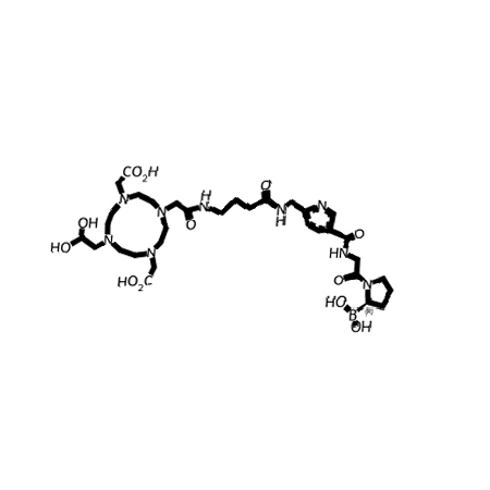 O=C(O)CN1CCN(CC(=O)NCCCC(=O)NCc2ccc(C(=O)NCC(=O)N3CCC[C@H]3B(O)O)cn2)CCN(CC(=O)O)CCN(CC(O)O)CC1